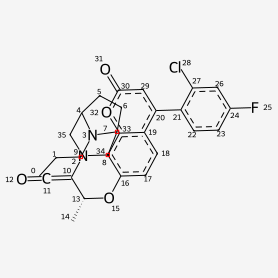 CCCN1C2CCC1CN(C(=C=O)[C@@H](C)Oc1ccc3c(-c4ccc(F)cc4Cl)cc(=O)oc3c1)C2